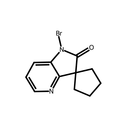 O=C1N(Br)c2cccnc2C12CCCC2